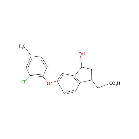 O=C(O)CC1CC(O)c2cc(Oc3ccc(C(F)(F)F)cc3Cl)ccc21